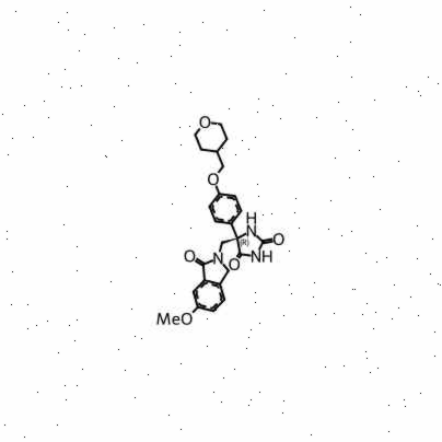 COc1ccc2c(c1)C(=O)N(C[C@@]1(c3ccc(OCC4CCOCC4)cc3)NC(=O)NC1=O)C2